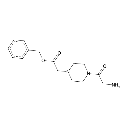 NCC(=O)N1CCN(CC(=O)OCc2ccccc2)CC1